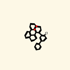 Clc1ccc(-c2ccccc2)cc1-c1ccccc1-c1cccc2cccc(-c3ccccc3)c12